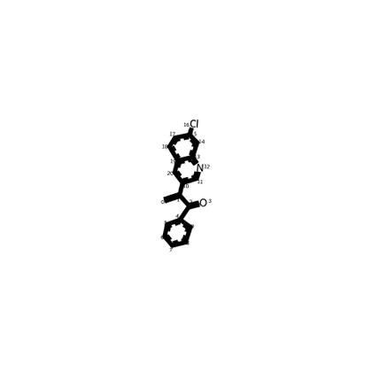 C=C(C(=O)c1ccccc1)c1cnc2cc(Cl)ccc2c1